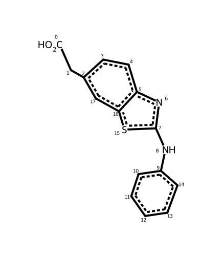 O=C(O)Cc1ccc2nc(Nc3ccccc3)sc2c1